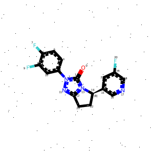 O=c1n(-c2ccc(F)c(F)c2)nc2n1[C@@H](c1cncc(F)c1)CC2